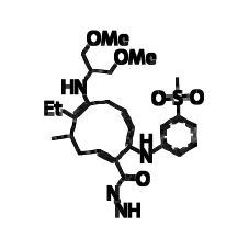 CC/C1=C(\NC(COC)COC)CC=C=C(Nc2cccc(S(C)(=O)=O)c2)/C(C(=O)N=N)=C/CC1C